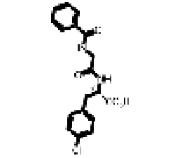 O=C(CNC(=O)c1ccccc1)N[C@@H](Cc1ccc(Cl)cc1)C(=O)O